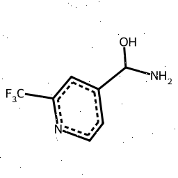 NC(O)c1ccnc(C(F)(F)F)c1